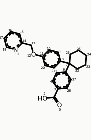 O=C(O)c1ccc(C2(c3ccc(OCc4ccccn4)cc3)CCCCC2)cc1